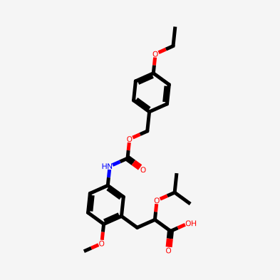 CCOc1ccc(COC(=O)Nc2ccc(OC)c(CC(OC(C)C)C(=O)O)c2)cc1